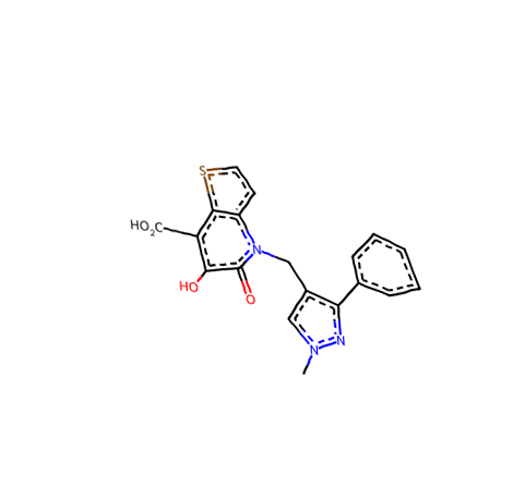 Cn1cc(Cn2c(=O)c(O)c(C(=O)O)c3sccc32)c(-c2ccccc2)n1